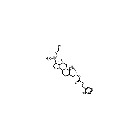 CC(C)CCC[C@H](C)C1CCC2C3CC=C4CC(OC(=O)CCc5cnc[nH]5)CCC4(C)C3CCC21C